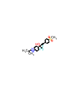 CC(C)CNc1ccc(C(O)(C#Cc2ccc(S(C)(=O)=O)cc2)C(F)(F)F)cc1